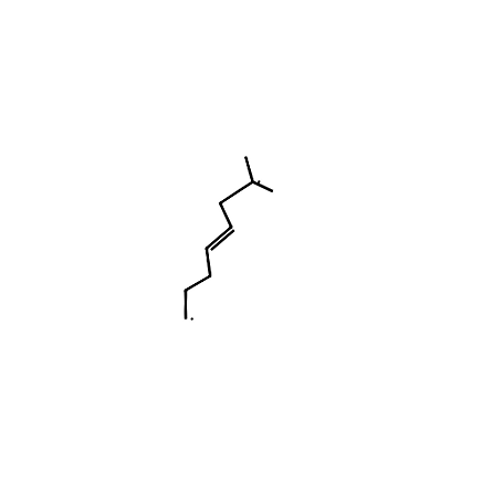 [CH2]CCC=CC[C](C)C